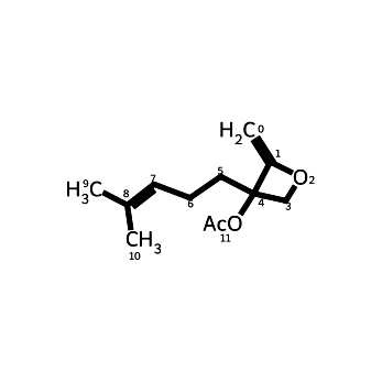 C=C1OCC1(CCC=C(C)C)OC(C)=O